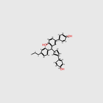 CCCc1ccc(C(c2cc(-c3ccc(O)cc3)ccc2O)C2C=CC(c3ccc(O)cc3)=C2)cc1